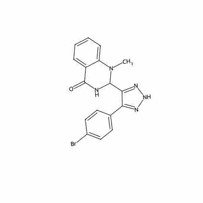 CN1c2ccccc2C(=O)NC1c1n[nH]nc1-c1ccc(Br)cc1